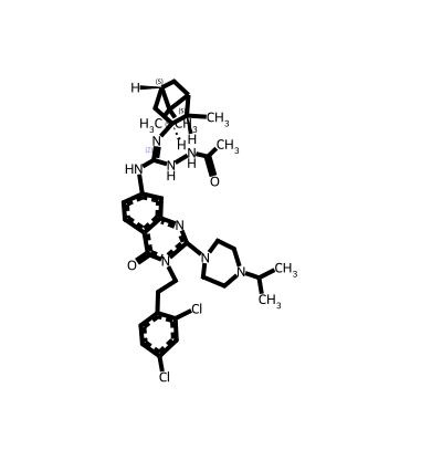 CC(=O)NN/C(=N\[C@H]1C[C@@H]2CC([C@@H]1C)C2(C)C)Nc1ccc2c(=O)n(CCc3ccc(Cl)cc3Cl)c(N3CCN(C(C)C)CC3)nc2c1